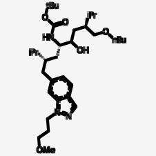 CCCCOC[C@@H](CC(O)[C@H](C[C@H](Cc1ccc2cnn(CCCOC)c2c1)C(C)C)NC(=O)OC(C)(C)C)C(C)C